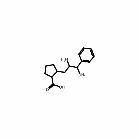 NC(CC1CCCC1C(=O)O)C(N)c1ccccc1